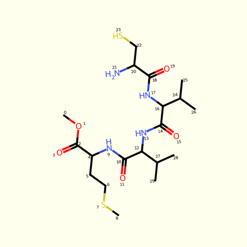 COC(=O)C(CCSC)NC(=O)C(NC(=O)C(NC(=O)C(N)CS)C(C)C)C(C)C